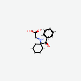 O=C(O)CNC1(C(=O)c2ccccc2)CCCCC1